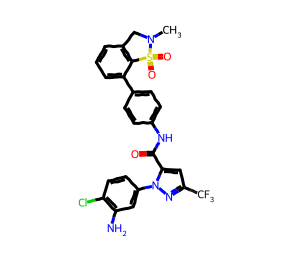 CN1Cc2cccc(-c3ccc(NC(=O)c4cc(C(F)(F)F)nn4-c4ccc(Cl)c(N)c4)cc3)c2S1(=O)=O